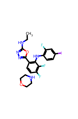 C1COCCN1.CCNc1nnc(-c2ccc(F)c(F)c2Nc2ccc(I)cc2F)o1